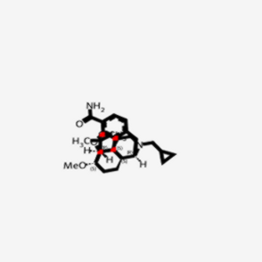 CO[C@@]12CC[C@@]3(C[C@@H]1C(C)(C)O)[C@H]1Cc4ccc(C(N)=O)c5c4[C@@]3(CCN1CC1CC1)[C@H]2O5